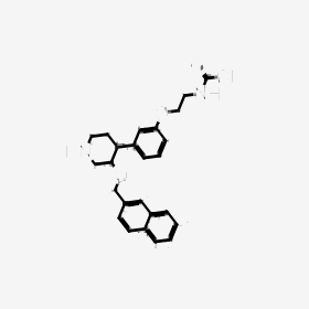 O=C(O)NCCOc1cccc(C2CCNCC2OCc2ccc3ccccc3c2)c1